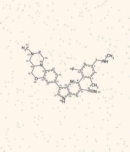 CNCc1cc(C)c(-c2nc3c(-c4ccc5c(c4)OCC4CN(C)CCN54)c[nH]c3cc2C#N)c(F)c1